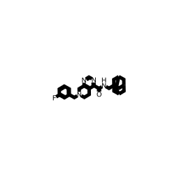 O=C(NCC12CC3CC(CC(C3)C1)C2)c1ncnc2c1CCN(Cc1cccc(F)c1)C2